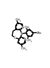 Cc1cnc2c(c1)CCCc1cc(C)cnc1N2c1c(C)cc(C(C)(C)C)cc1C